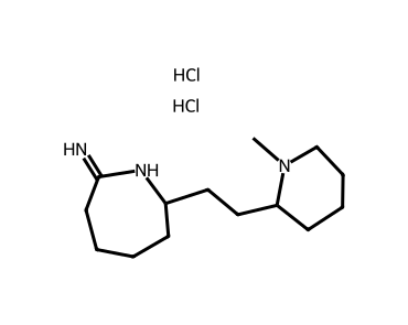 CN1CCCCC1CCC1CCCCC(=N)N1.Cl.Cl